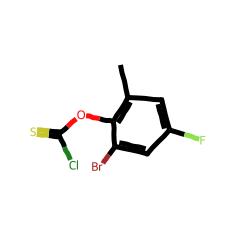 Cc1cc(F)cc(Br)c1OC(=S)Cl